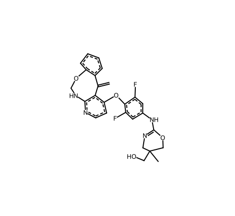 C=C1c2ccccc2OCNc2nccc(Oc3c(F)cc(NC4=NCC(C)(CO)CO4)cc3F)c21